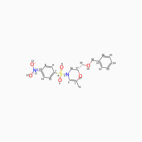 CC1=CN(S(=O)(=O)c2ccc([N+](=O)[O-])cc2)C[C@H](COCc2ccccc2)O1